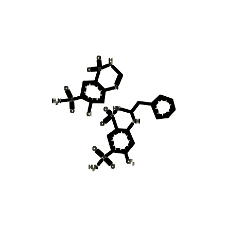 NS(=O)(=O)c1cc2c(cc1C(F)(F)F)NC(Cc1ccccc1)NS2(=O)=O.NS(=O)(=O)c1cc2c(cc1Cl)N=CNS2(=O)=O